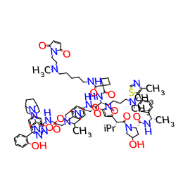 Cc1ncsc1-c1ccc([C@H](C)NC(=O)[C@@H]2C[C@@H](O)CN2C(=O)[C@@H](c2cc(OCCN3CCN(CCOc4cc(N5C6CCC5CN(c5cc(-c7ccccc7O)nnc5NC(=O)OCc5ccc(NC(=O)[C@H](CCCCN(C)C)NC(=O)C7(C(=O)NCCCCCN(C)CCN8C(=O)C=CC8=O)CCC7)cc5)C6)ccn4)[C@H](C)C3)no2)C(C)C)cc1